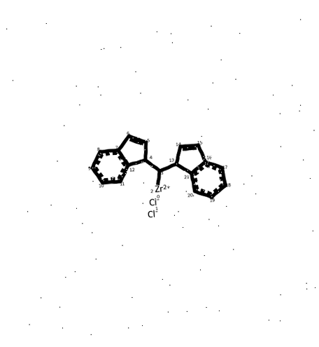 [Cl-].[Cl-].[Zr+2][CH](C1C=Cc2ccccc21)C1C=Cc2ccccc21